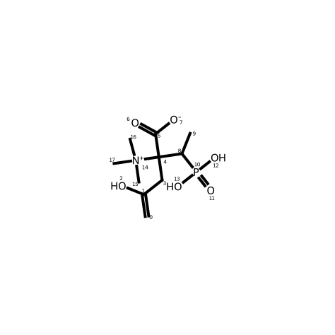 C=C(O)CC(C(=O)[O-])(C(C)P(=O)(O)O)[N+](C)(C)C